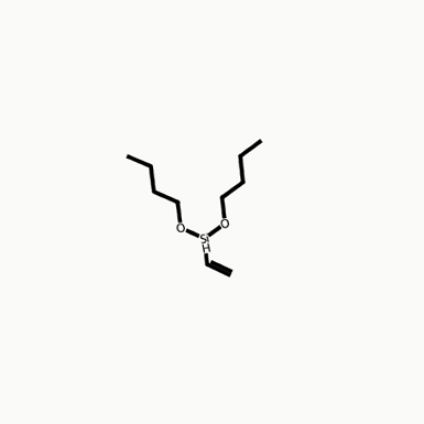 C=C[SiH](OCCCC)OCCCC